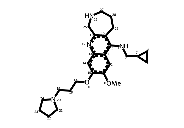 COc1cc2c(NCC3CC3)c3c(nc2cc1OCCCN1CCCC1)CNCCC3